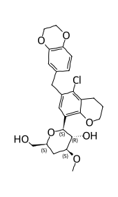 CO[C@H]1C[C@@H](CO)O[C@@H](c2cc(Cc3ccc4c(c3)OCCO4)c(Cl)c3c2OCCC3)[C@@H]1O